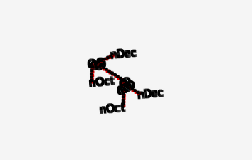 CCCCCCCCC=CCCCCCCCC(=O)OCC(COCCCCCCCCCCCCCCCCCC)OC(=O)CCCCCCCC=CCCCCCCCC(=O)OC(COC(=O)CCCCCCCC=CCCCCCCCC)COC(=O)CCCCCCCCCCCCCCCCC